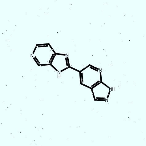 c1cc2nc(-c3cnc4[nH]ncc4c3)[nH]c2cn1